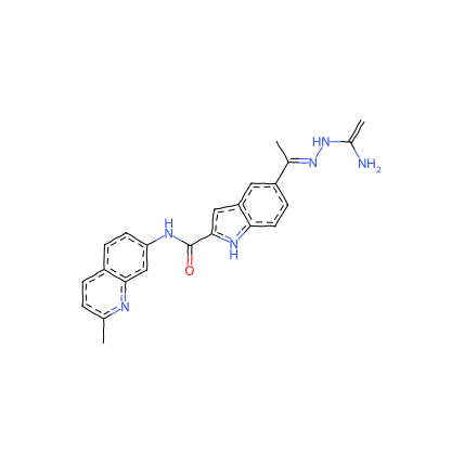 C=C(N)N/N=C(\C)c1ccc2[nH]c(C(=O)Nc3ccc4ccc(C)nc4c3)cc2c1